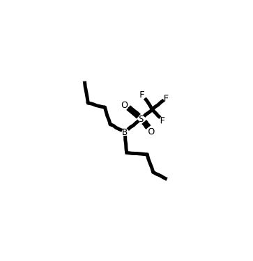 CCCCB(CCCC)S(=O)(=O)C(F)(F)F